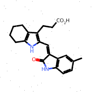 Cc1ccc2c(c1)C(=Cc1[nH]c3c(c1CCC(=O)O)CCCC3)C(=O)N2